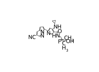 CC(C)(O)[C@H](F)CNC(=O)c1cnc(-c2ccc3cc(C#N)cnn23)cc1NC1CC1